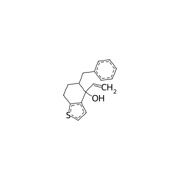 C=CC1(O)c2ccsc2CCC1Cc1ccccc1